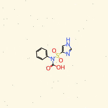 O=C(O)N(c1ccccc1)S(=O)(=O)c1c[nH]cn1